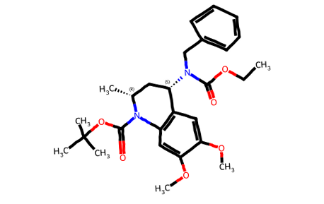 CCOC(=O)N(Cc1ccccc1)[C@H]1C[C@@H](C)N(C(=O)OC(C)(C)C)c2cc(OC)c(OC)cc21